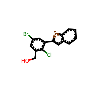 OCc1cc(Br)cc(-c2cc3ccccc3s2)c1Cl